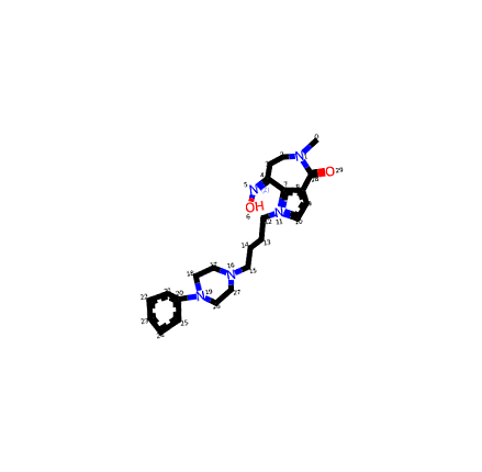 CN1CC/C(=N/O)c2c(ccn2CCCCN2CCN(c3ccccc3)CC2)C1=O